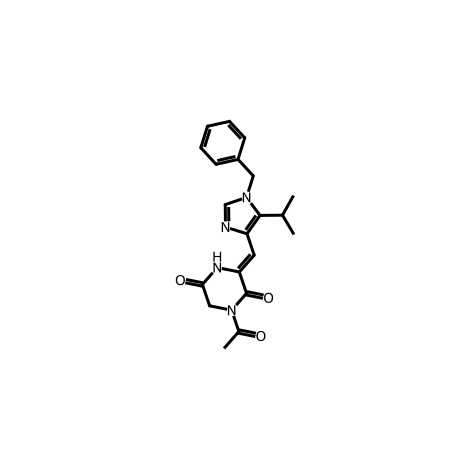 CC(=O)N1CC(=O)NC(=Cc2ncn(Cc3ccccc3)c2C(C)C)C1=O